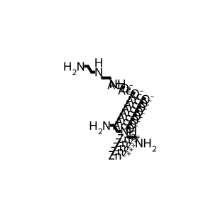 CC(=O)[O-].CC(=O)[O-].CC(=O)[O-].CC(=O)[O-].CC(=O)[O-].CC(=O)[O-].CC(=O)[O-].CC(=O)[O-].CC(=O)[O-].CC(=O)[O-].NCCNCCN.NCCNCCN.[Zn+2].[Zn+2].[Zn+2].[Zn+2].[Zn+2]